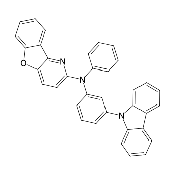 c1ccc(N(c2cccc(-n3c4ccccc4c4ccccc43)c2)c2ccc3oc4ccccc4c3n2)cc1